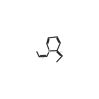 C/C=C\N1C=CC=C/C1=C/C